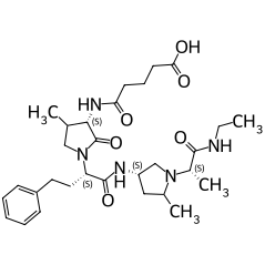 CCNC(=O)[C@H](C)N1C[C@@H](NC(=O)[C@H](CCc2ccccc2)N2CC(C)[C@H](NC(=O)CCCC(=O)O)C2=O)CC1C